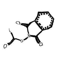 O=C(I)ON1C(=O)c2ccccc2C1=O